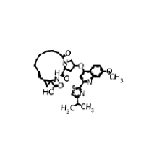 COc1ccc2c(OC3CC4C(=O)NC5(C(=O)O)CC5/C=C/CCCCCCC(=O)N4C3)cc(-c3nc(C(C)C)cs3)nc2c1